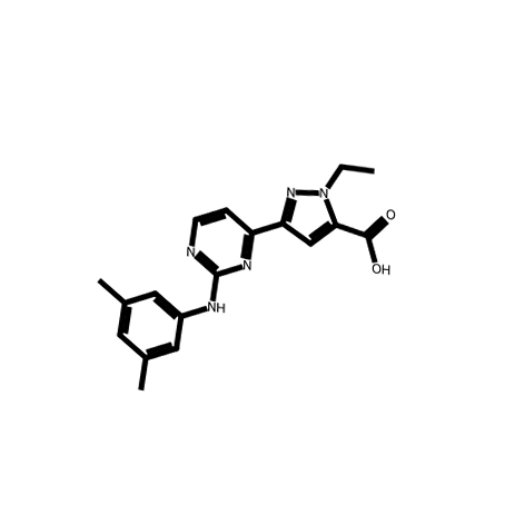 CCn1nc(-c2ccnc(Nc3cc(C)cc(C)c3)n2)cc1C(=O)O